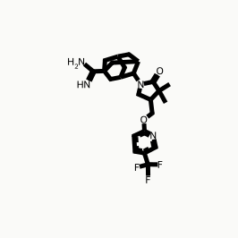 CC1(C)C(=O)N(C2C3CC4CC2CC(C(=N)N)(C4)C3)CC1COc1ccc(C(F)(F)F)cn1